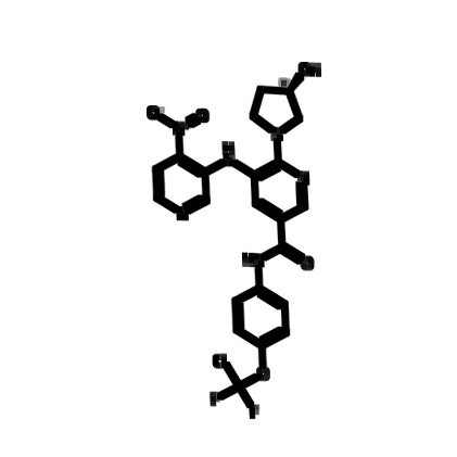 O=C(Nc1ccc(OC(F)(F)Cl)cc1)c1cnc(N2CC[C@@H](O)C2)c(Nc2cnccc2[N+](=O)[O-])c1